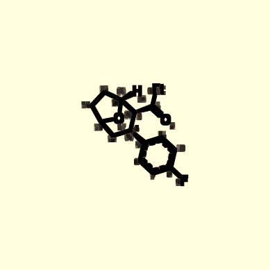 CCC(=O)[C@H]1[C@@H](c2ccc(F)cc2)CC2CC[C@H]1O2